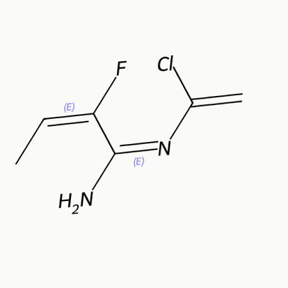 C=C(Cl)/N=C(N)\C(F)=C/C